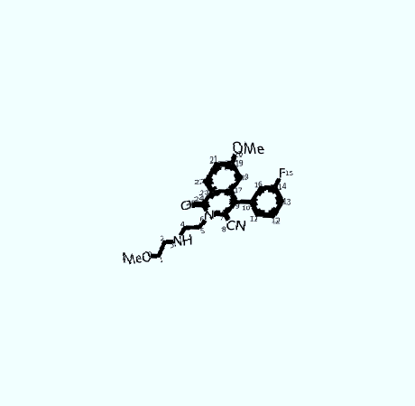 COCCNCCn1c(C#N)c(-c2cccc(F)c2)c2cc(OC)ccc2c1=O